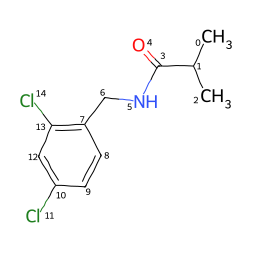 CC(C)C(=O)NCc1ccc(Cl)cc1Cl